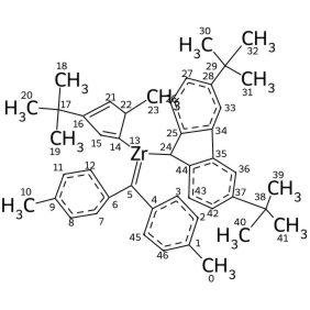 Cc1ccc([C](c2ccc(C)cc2)=[Zr]([C]2=CC(C(C)(C)C)=CC2C)[CH]2c3ccc(C(C)(C)C)cc3-c3cc(C(C)(C)C)ccc32)cc1